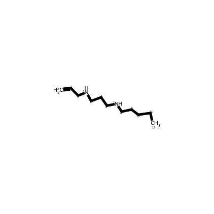 C=CCNCCCNCCCCC